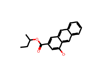 CCC(C)OC(=O)c1cc([O])c2cc3ccccc3cc2c1